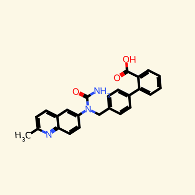 Cc1ccc2cc(N(Cc3ccc(-c4ccccc4C(=O)O)cc3)C(N)=O)ccc2n1